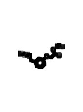 CC(C)(C)OC(=O)COc1cccc(CN=[N+]=[N-])c1